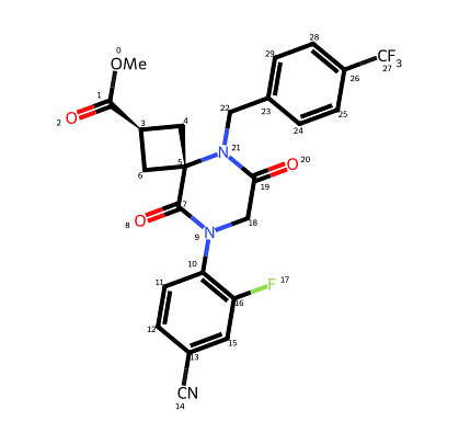 COC(=O)[C@H]1C[C@]2(C1)C(=O)N(c1ccc(C#N)cc1F)CC(=O)N2Cc1ccc(C(F)(F)F)cc1